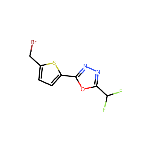 FC(F)c1nnc(-c2ccc(CBr)s2)o1